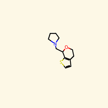 c1cc2c(s1)C(CN1CCCC1)OCC2